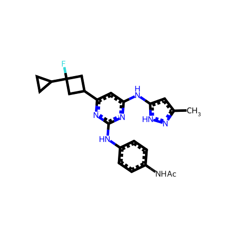 CC(=O)Nc1ccc(Nc2nc(Nc3cc(C)n[nH]3)cc(C3CC(F)(C4CC4)C3)n2)cc1